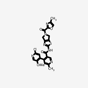 COc1cnc(Cl)cc1-c1cc(C)ncc1C(=O)Nc1nc2c(s1)CN(C(=O)c1nc(C)co1)C2